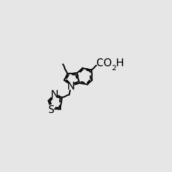 Cc1cn(Cc2cscn2)c2ccc(C(=O)O)cc12